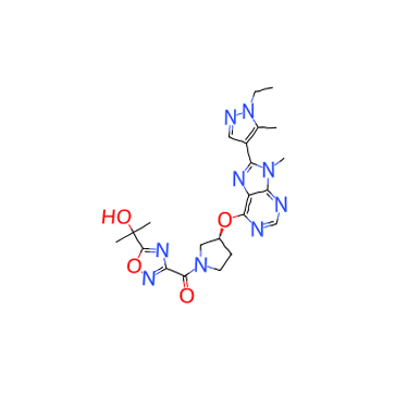 CCn1ncc(-c2nc3c(O[C@H]4CCN(C(=O)c5noc(C(C)(C)O)n5)C4)ncnc3n2C)c1C